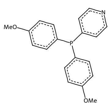 COc1ccc(P(c2ccncc2)c2ccc(OC)cc2)cc1